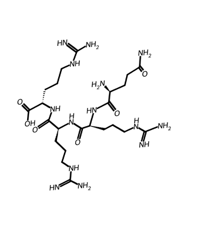 N=C(N)NCCC[C@H](NC(=O)[C@H](CCCNC(=N)N)NC(=O)[C@H](CCCNC(=N)N)NC(=O)[C@@H](N)CCC(N)=O)C(=O)O